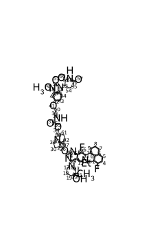 CCc1c(F)ccc2cccc(-c3ncc4c(N5CCC[C@@](C)(O)C5)nc(OC[C@@]56CCCN5[C@H](COC(=O)NCCOc5ccc7c(c5)n(C)c(=O)n7C5CCC(=O)NC5=O)CC6)nc4c3F)c12